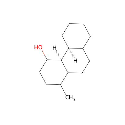 CC1CCC(O)[C@@H]2C1CCC1CCCC[C@@H]12